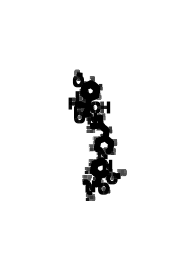 COc1cccc(C(O)(C(=O)N2CC(CC3CCN(c4ccc(C(=O)N(C)C)c(OC)n4)CC3)C2)C(F)(F)F)c1